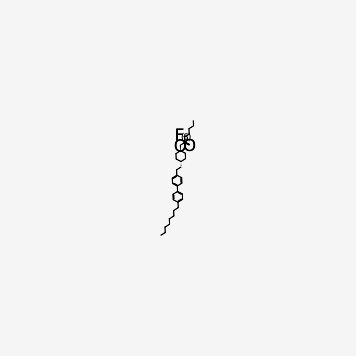 CCCCCCCCc1ccc(-c2ccc(CC[C@H]3CC[C@H](OC(=O)[C@@H](F)CCCC)CC3)cc2)cc1